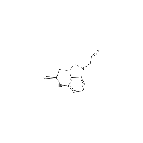 O=CCN1CC2CC(=O)Nc3cccc1c32